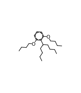 CCCCOc1cccc(OCCCC)c1[C](CCCC)CCCC